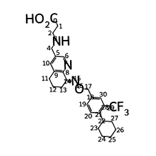 O=C(O)CCNCc1cnc2c(c1)CCC/C2=N\OCc1ccc(C2CCCCC2)c(C(F)(F)F)c1